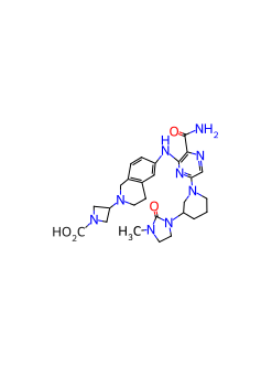 CN1CCN(C2CCCN(c3cnc(C(N)=O)c(Nc4ccc5c(c4)CCN(C4CN(C(=O)O)C4)C5)n3)C2)C1=O